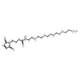 O=C(O)CCOCCOCCOCCOCCNC(=O)CCCN1C(=O)C=CC1=O